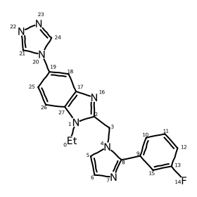 CCn1c(Cn2ccnc2-c2cccc(F)c2)nc2cc(-n3cnnc3)ccc21